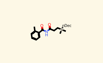 CCCCCCCCCC[Si](C)(C)CCC(=O)NC(=O)c1ccccc1C